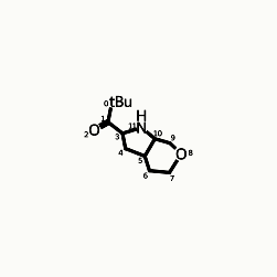 CC(C)(C)C(=O)C1CC2CCOCC2N1